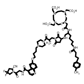 Cc1ccc(CCCC(=O)NCCCCC(CNC2CC(=O)N(CC(C)C(=O)N3CCN(CCCCOc4ccc5nccc(C(=O)NCC(=O)N6CC(F)(F)C[C@@H]6C#N)c5c4)CC3)C2=O)NC(=O)CN2CCN(CC(=O)O)CCN(CC(=O)O)CCN(CC(=O)O)CC2)cc1